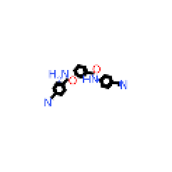 N#Cc1ccc(NC(=O)c2cccc(O[C@H](N)c3ccc(C#N)cc3)c2)cc1